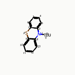 CC(C)(C)N1c2ccccc2Sc2ccccc21